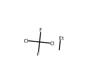 CCC.FC(F)(Cl)Cl